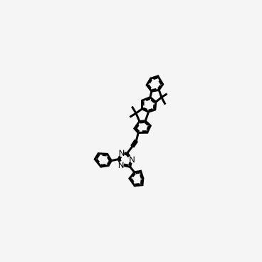 CC1(C)c2ccccc2-c2cc3c(cc21)-c1ccc(C#Cc2nc(-c4ccccc4)nc(-c4ccccc4)n2)cc1C3(C)C